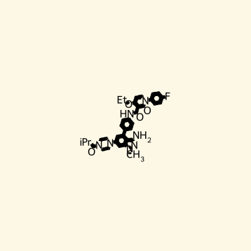 CCOc1ccn(-c2ccc(F)cc2)c(=O)c1C(=O)Nc1ccc(-c2cc(N3CCN(C(=O)C(C)C)CC3)cc3c2c(N)nn3C)cc1